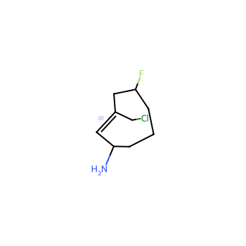 NC1/C=C(\CCl)CC(F)CCC1